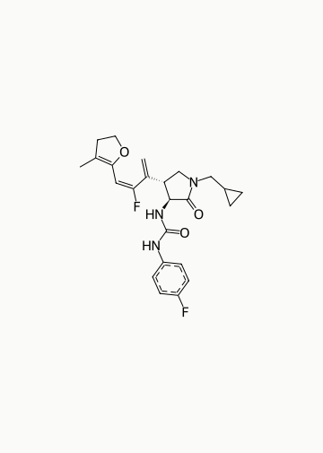 C=C(/C(F)=C\C1=C(C)CCO1)[C@@H]1CN(CC2CC2)C(=O)[C@H]1NC(=O)Nc1ccc(F)cc1